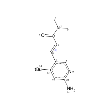 CN(C)C(=O)/C=C/c1cnc(N)cc1C(C)(C)C